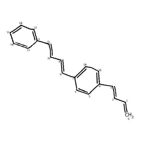 C=CC=Cc1ccc(C=CC=Cc2ccccc2)cc1